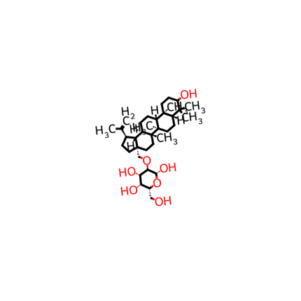 C=C(C)[C@@H]1CC[C@]2(CO[C@@H]3[C@@H](O)[C@@H](O)[C@@H](CO)O[C@H]3O)CC[C@]3(C)[C@H](CC[C@@H]4[C@@]5(C)CCC(O)C(C)(C)[C@@H]5CC[C@]43C)[C@@H]12